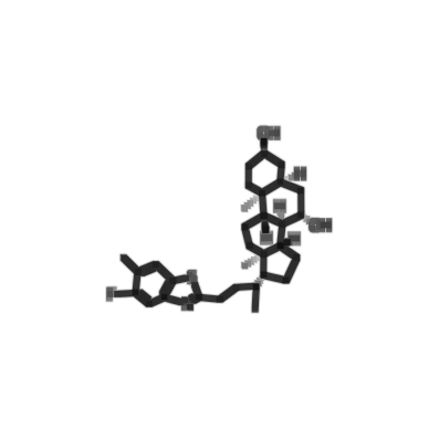 Cc1cc2sc(CCC(C)[C@H]3CC[C@H]4[C@@H]5[C@@H](O)C[C@@H]6C[C@H](O)CC[C@]6(C)[C@H]5CC[C@]34C)nc2cc1F